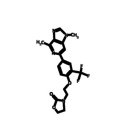 Cc1nc(-c2ccc(OCCN3CCOC3=O)c(C(F)(F)F)c2)cc2c1ncn2C